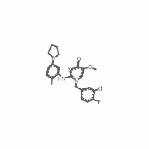 COc1cn(Cc2ccc(F)c(Cl)c2)c(Nc2cc(N3CCCC3)ccc2C)nc1=O